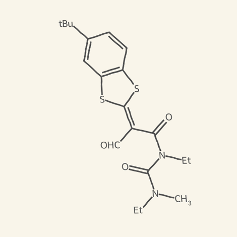 CCN(C)C(=O)N(CC)C(=O)/C(C=O)=C1\Sc2ccc(C(C)(C)C)cc2S1